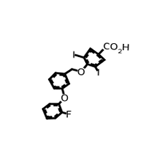 O=C(O)c1cc(I)c(OCc2cccc(Oc3ccccc3F)c2)c(I)c1